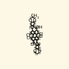 CC1COc2cc3nc4n(c3cc2OC1)C(O)c1cc(Cl)c2c3c(Cl)cc5c6c(cc(Cl)c(c7c(Cl)cc-4c1c72)c36)c(=O)n1c2cc3c(cc2nc51)OCCCO3